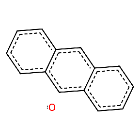 [O].c1ccc2cc3ccccc3cc2c1